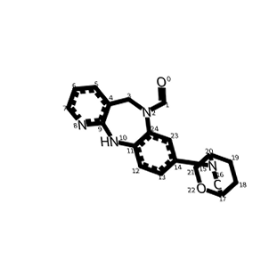 O=CN1Cc2cccnc2Nc2ccc(N3CC4CCC3CO4)cc21